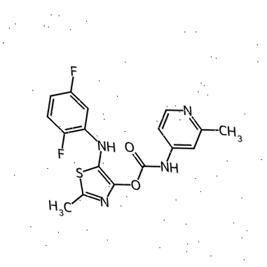 Cc1cc(NC(=O)Oc2nc(C)sc2Nc2cc(F)ccc2F)ccn1